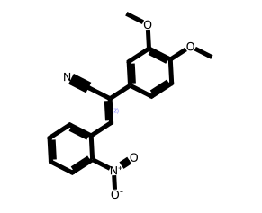 COc1ccc(/C(C#N)=C/c2ccccc2[N+](=O)[O-])cc1OC